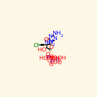 Nc1ncn([C@@H]2O[C@H](COP(=O)(O)OP(=O)(O)OP(=O)(O)O)C(O)C2(N)C#CCl)c(=O)n1